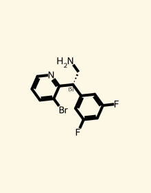 NC[C@H](c1cc(F)cc(F)c1)c1ncccc1Br